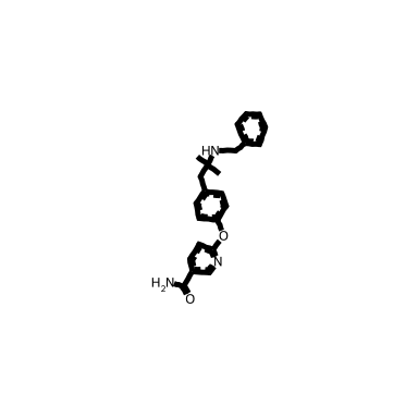 CC(C)(Cc1ccc(Oc2ccc(C(N)=O)cn2)cc1)NCc1ccccc1